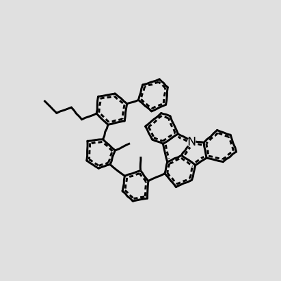 CCCCc1ccc(-c2ccccc2)cc1-c1cccc(-c2cccc(-c3ccc4c5ccccc5n5c6ccccc6c3c45)c2C)c1C